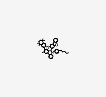 CCCCCc1ccc(N2B3c4cc5oc6ccccc6c5cc4-n4c5cc6c(cc5c5c(C)cc(c3c54)-c3ccccc32)C(C)(C)CCC6(C)C)cc1